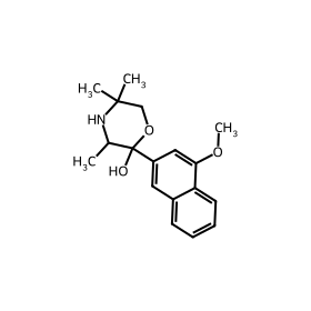 COc1cc(C2(O)OCC(C)(C)NC2C)cc2ccccc12